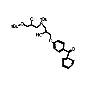 CCCCOCC(O)CN(CCCC)CC(O)COc1ccc(C(=O)c2ccccc2)cc1